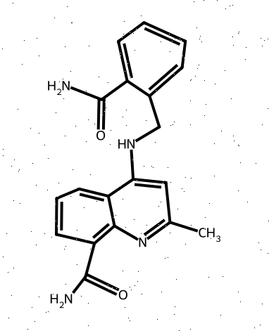 Cc1cc(NCc2ccccc2C(N)=O)c2cccc(C(N)=O)c2n1